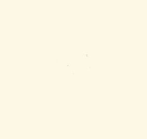 OCC1(C(O)I)CC1